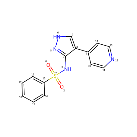 O=S(=O)(Nc1n[nH]cc1-c1ccncc1)c1ccccc1